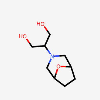 OCC(CO)N1CC2CCC(C1)O2